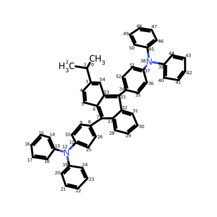 CC(C)c1ccc2c(-c3ccc(N(c4ccccc4)c4ccccc4)cc3)c3ccccc3c(-c3ccc(N(c4ccccc4)c4ccccc4)cc3)c2c1